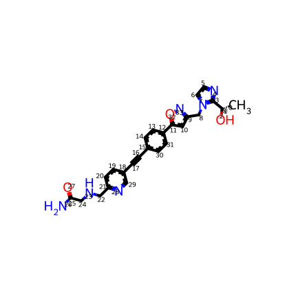 C[C@H](O)c1nccn1Cc1cc(-c2ccc(C#Cc3ccc(CNCC(N)=O)nc3)cc2)on1